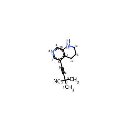 CC(C)(C#N)C#Cc1cncc2c1CCCN2